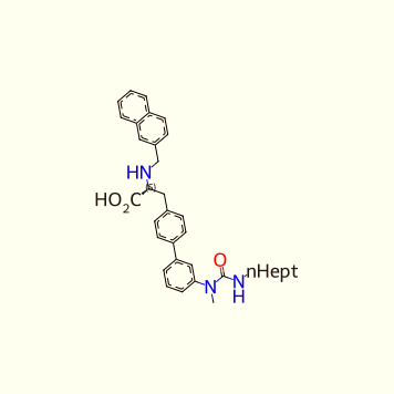 CCCCCCCNC(=O)N(C)c1cccc(-c2ccc(C[C@H](NCc3ccc4ccccc4c3)C(=O)O)cc2)c1